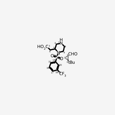 CC(C)(C)OC=O.O=C(O)CC1CNCCN1S(=O)(=O)c1cccc(C(F)(F)F)c1